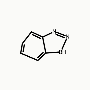 B1N=Nc2ccccc21